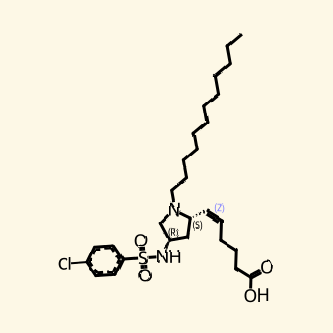 CCCCCCCCCCCCN1C[C@H](NS(=O)(=O)c2ccc(Cl)cc2)C[C@H]1/C=C\CCCC(=O)O